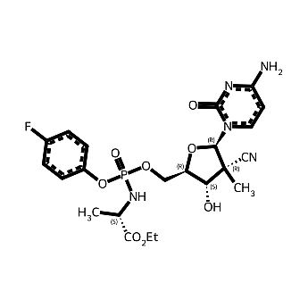 CCOC(=O)[C@H](C)NP(=O)(OC[C@H]1O[C@@H](n2ccc(N)nc2=O)[C@](C)(C#N)[C@@H]1O)Oc1ccc(F)cc1